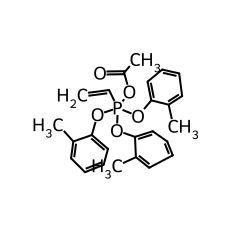 C=CP(OC(C)=O)(Oc1ccccc1C)(Oc1ccccc1C)Oc1ccccc1C